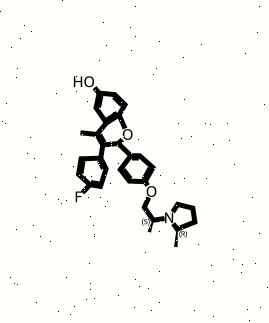 CC1=C(c2ccc(F)cc2)C(c2ccc(OC[C@H](C)N3CCC[C@H]3C)cc2)Oc2ccc(O)cc21